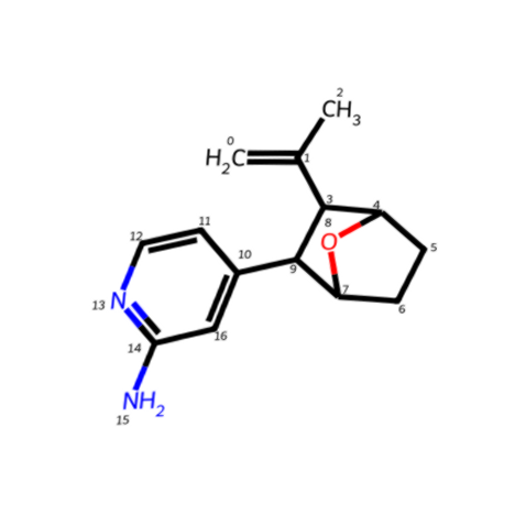 C=C(C)C1C2CCC(O2)C1c1ccnc(N)c1